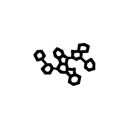 c1ccc(-c2cccc(-c3cc4c5ccccc5oc4c4c3c3ccccc3n4-c3nc(-c4ccccc4)c4ccccc4n3)c2)cc1